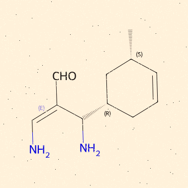 C[C@@H]1C=CC[C@H](C(N)/C(C=O)=C\N)C1